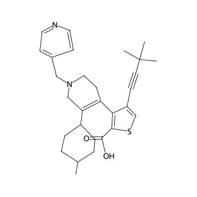 CC1CCC(C2=C(c3c(C#CC(C)(C)C)csc3C(=O)O)CCN(Cc3ccncc3)C2)CC1